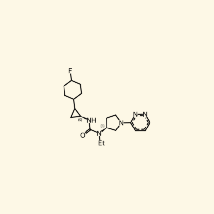 CCN(C(=O)N[C@H]1CC1C1CCC(F)CC1)[C@H]1CCN(c2cccnn2)C1